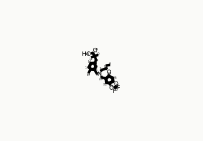 CC[C@@H]1CN(Cc2cc(CC(C)(C)C(=O)O)ccc2C)Cc2cc3c(cc2O1)OC(F)(F)O3